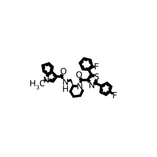 Cn1cc(C(=O)NC[C@@H]2CCCCN2C(=O)c2nc(-c3ccc(F)cc3)sc2-c2ccccc2F)c2ccccc21